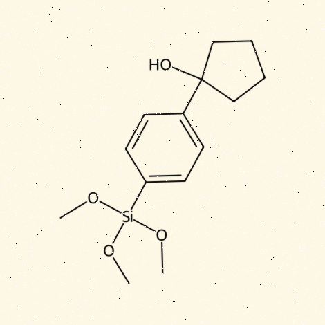 CO[Si](OC)(OC)c1ccc(C2(O)CCCC2)cc1